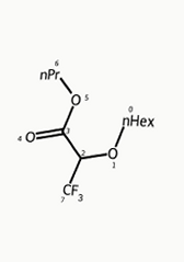 CCCCCCOC(C(=O)OCCC)C(F)(F)F